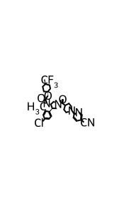 CN(C(=O)O[C@H]1CC[C@H](C(F)(F)F)CC1)[C@@H]1CN(C(=O)C2CCN(c3ccc(C#N)cn3)CC2)C[C@H]1c1ccc(Cl)cc1